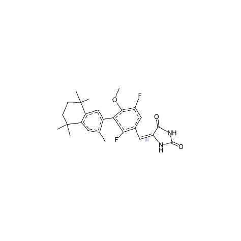 COc1c(F)cc(/C=C2/NC(=O)NC2=O)c(F)c1-c1cc2c(cc1C)C(C)(C)CCC2(C)C